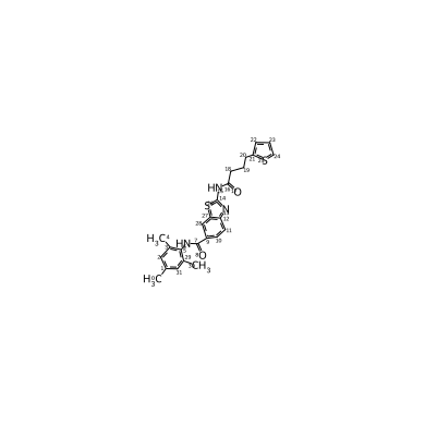 Cc1cc(C)c(NC(=O)c2ccc3nc(NC(=O)CCCc4cccs4)sc3c2)c(C)c1